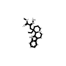 CCC1(CC(=NO)C(=O)OC)CCCN2CCc3c([nH]c4ccccc34)C21